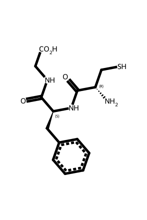 N[C@@H](CS)C(=O)N[C@@H](Cc1ccccc1)C(=O)NCC(=O)O